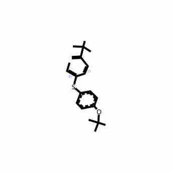 C=C(/C=C\C(=C/C)Sc1ccc(OC(C)(C)C)cc1)C(C)(C)C